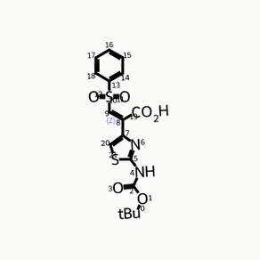 CC(C)(C)OC(=O)Nc1nc(/C(=C/S(=O)(=O)c2ccccc2)C(=O)O)cs1